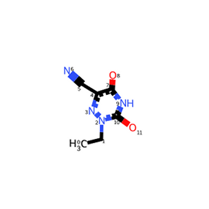 CCn1nc(C#N)c(=O)[nH]c1=O